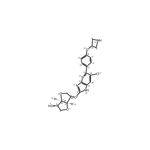 O[C@@H]1CO[C@H]2[C@@H]1OC[C@H]2Oc1nc2nc(-c3ccc(OC4CNC4)cc3)c(Cl)cc2[nH]1